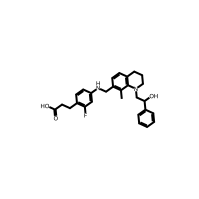 Cc1c(CNc2ccc(CCC(=O)O)c(F)c2)ccc2c1N(CC(O)c1ccccc1)CCC2